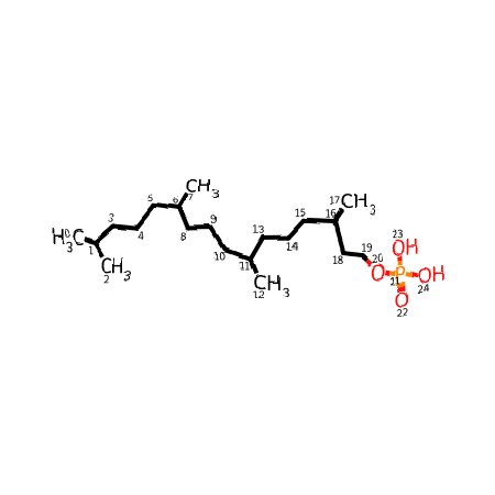 CC(C)CCCC(C)CCCC(C)CCCC(C)CCOP(=O)(O)O